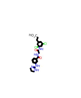 O=C(O)CCC1=CC(Cl)=CC(Cl)(NC(=O)CNC(=O)c2cccc(NC3=NCCCN3)c2)C1